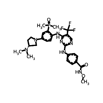 CONC(=O)c1ccc(Nc2ncc(C(F)(F)F)c(Nc3ccc(N4CC[C@@H](N(C)C)C4)cc3P(C)(C)=O)n2)cc1